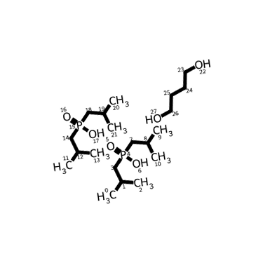 CC(C)CP(=O)(O)CC(C)C.CC(C)CP(=O)(O)CC(C)C.OCCCCO